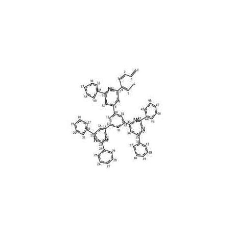 C=C/C=C\C(=C/C)c1cc(-c2cc(-c3cc(-c4ccccc4)nc(-c4ccccc4)n3)cc(-c3cc(-c4ccccc4)nc(-c4ccccc4)n3)c2)cc(-c2ccccc2)n1